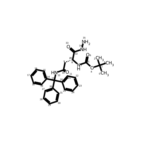 CC(C)(C)OC(=O)N[C@H](CC(=O)NC(c1ccccc1)(c1ccccc1)c1ccccc1)C(=O)NN